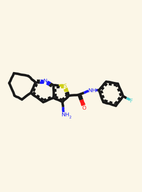 Nc1c(C(=O)Nc2ccc(F)cc2)sc2nc3c(cc12)CCCCC3